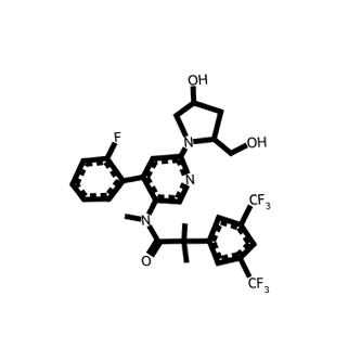 CN(C(=O)C(C)(C)c1cc(C(F)(F)F)cc(C(F)(F)F)c1)c1cnc(N2CC(O)CC2CO)cc1-c1ccccc1F